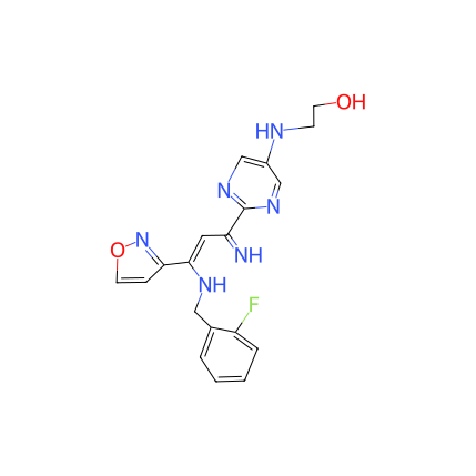 N=C(/C=C(\NCc1ccccc1F)c1ccon1)c1ncc(NCCO)cn1